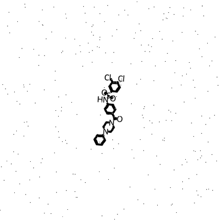 O=C(c1ccc(NS(=O)(=O)c2ccc(Cl)c(Cl)c2)cc1)N1CCN(c2ccccc2)CC1